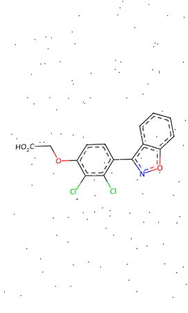 O=C(O)COc1ccc(-c2noc3ccccc23)c(Cl)c1Cl